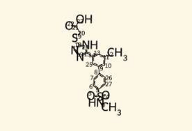 CNS(=O)(=O)c1ccc(-c2cc(C)cc(-c3nnc(SCC(=O)O)[nH]3)c2)cc1